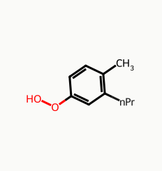 CCCc1cc(OO)ccc1C